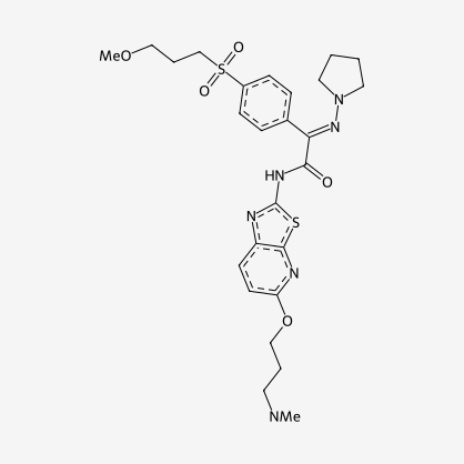 CNCCCOc1ccc2nc(NC(=O)/C(=N/N3CCCC3)c3ccc(S(=O)(=O)CCCOC)cc3)sc2n1